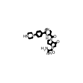 CCCC(N)C(=O)N1CC(=O)C2C1CCN2C(=O)C(CC(C)C)NC(=O)c1ccc(N2CCNCC2)cc1